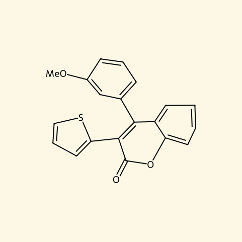 COc1cccc(-c2c(-c3cccs3)c(=O)oc3ccccc23)c1